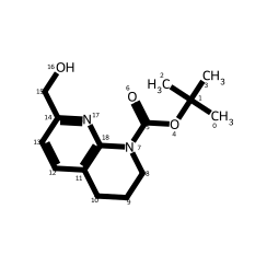 CC(C)(C)OC(=O)N1CCCc2ccc(CO)nc21